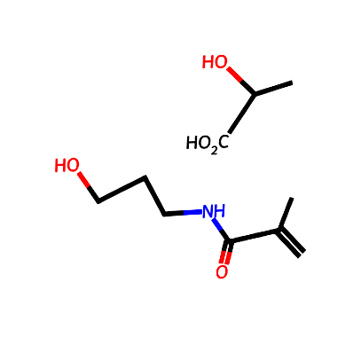 C=C(C)C(=O)NCCCO.CC(O)C(=O)O